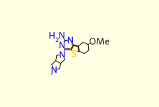 COC1CCc2sc3c(N4CC5CN(C)CC5C4)nc(N)nc3c2C1